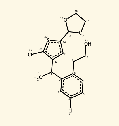 CC(c1cc(Cl)ccc1CCO)c1cc(C2OCCO2)sc1Cl